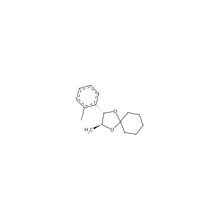 [CH2][C@@H]1OC2(CCCCC2)O[C@H]1c1ccccc1I